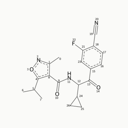 Cc1noc(C(C)C)c1C(=O)NC(C(=O)c1ccc(C#N)c(F)c1)C1CC1